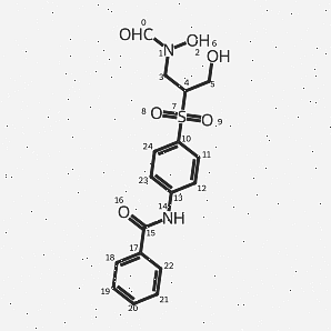 O=CN(O)CC(CO)S(=O)(=O)c1ccc(NC(=O)c2ccccc2)cc1